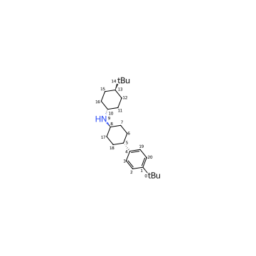 CC(C)(C)c1ccc([C@H]2CC[C@H](N[C@H]3CC[C@H](C(C)(C)C)CC3)CC2)cc1